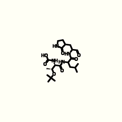 CC(C)CC(NC(=O)[C@@H](NC(=O)O)[C@@H](C)OC(C)(C)C)C(=O)NC(C=O)CC1CCNC1=O